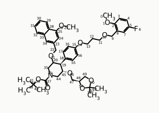 COc1ccc(F)cc1COCCCOc1ccc([C@@H]2C(OCc3cc(OC)c4ccccc4c3)CN(C(=O)OC(C)(C)C)C[C@H]2OC[C@H]2COC(C)(C)O2)cc1